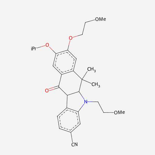 COCCOc1cc2c(cc1OC(C)C)C(=O)C1c3ccc(C#N)cc3N(CCOC)C1C2(C)C